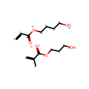 C=C(C)C(=O)OCCCO.C=CC(=O)OCCCCO